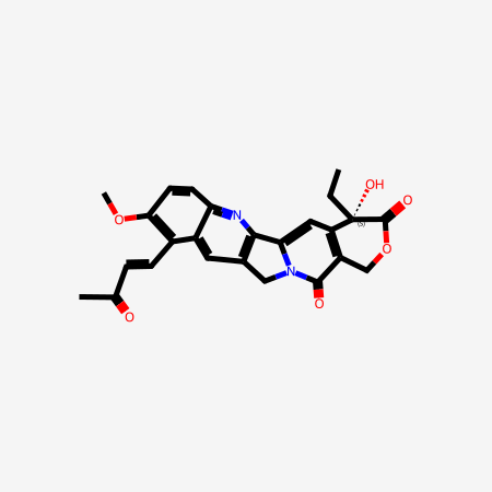 CC[C@@]1(O)C(=O)OCc2c1cc1n(c2=O)Cc2cc3c(C=CC(C)=O)c(OC)ccc3nc2-1